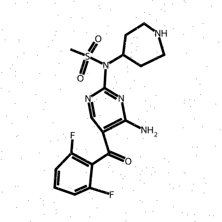 CS(=O)(=O)N(c1ncc(C(=O)c2c(F)cccc2F)c(N)n1)C1CCNCC1